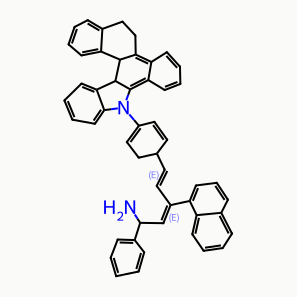 NC(/C=C(\C=C\C1C=CC(N2C3=c4ccccc4=C4CCc5ccccc5C4C3c3ccccc32)=CC1)c1cccc2ccccc12)c1ccccc1